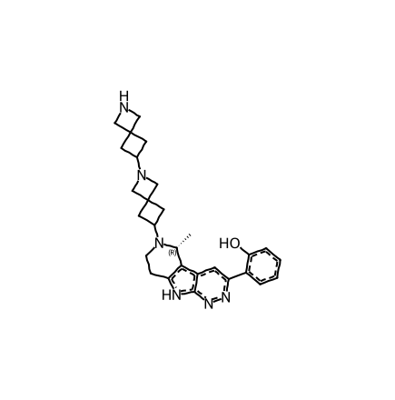 C[C@@H]1c2c([nH]c3nnc(-c4ccccc4O)cc23)CCN1C1CC2(C1)CN(C1CC3(CNC3)C1)C2